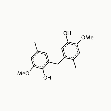 COc1cc(C)c(Cc2cc(C)cc(OC)c2O)cc1O